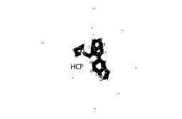 Cl.c1cc2cc(C3=C(CN4CCC4)C4CCC(C3)C4)ccc2s1